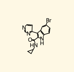 O=C(NC1CC1)c1[nH]c2ccc(Br)cc2c1-c1ccncn1